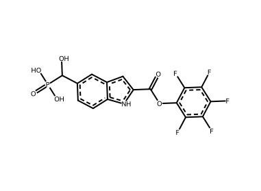 O=C(Oc1c(F)c(F)c(F)c(F)c1F)c1cc2cc(C(O)P(=O)(O)O)ccc2[nH]1